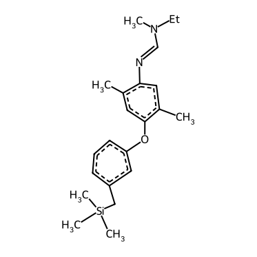 CCN(C)C=Nc1cc(C)c(Oc2cccc(C[Si](C)(C)C)c2)cc1C